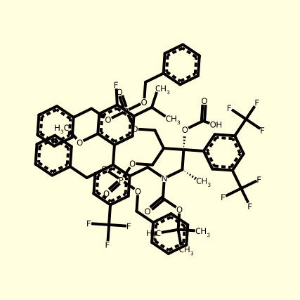 COc1cc(F)c(C(C)C)cc1-c1ccc(C(F)(F)F)cc1CN(C(=O)OC(C)(C)C)[C@@H](C)[C@](OC(=O)O)(c1cc(C(F)(F)F)cc(C(F)(F)F)c1)C(COP(=O)(OCc1ccccc1)OCc1ccccc1)COP(=O)(OCc1ccccc1)OCc1ccccc1